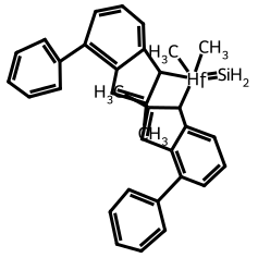 CC1=Cc2c(-c3ccccc3)cccc2[CH]1[Hf]([CH3])([CH3])(=[SiH2])[CH]1C(C)=Cc2c(-c3ccccc3)cccc21